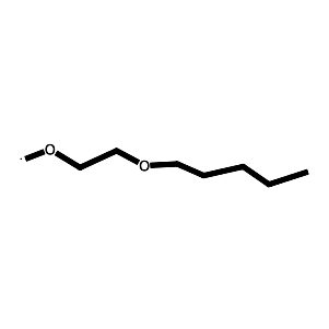 [CH2]OCCOCCCCC